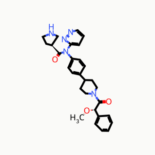 CO[C@H](C(=O)N1CCC(c2ccc(N(C(=O)[C@H]3CCNC3)c3cccnn3)cc2)CC1)c1ccccc1